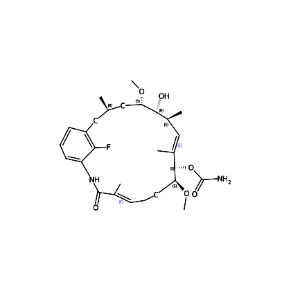 CO[C@H]1C[C@H](C)Cc2cccc(c2F)NC(=O)/C(C)=C/CC[C@H](OC)[C@@H](OC(N)=O)/C(C)=C/[C@H](C)[C@H]1O